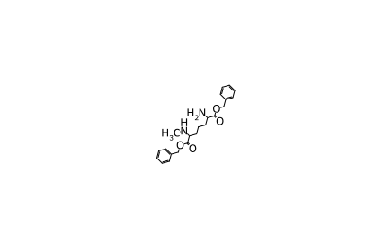 CNC(CCCC(N)C(=O)OCc1ccccc1)C(=O)OCc1ccccc1